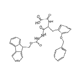 O=C(NNC(=O)C(Cc1ccccc1OCc1ccccc1)NC(=O)C(=O)O)OCC1c2ccccc2-c2ccccc21